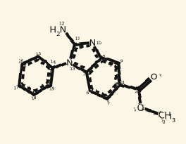 COC(=O)c1ccc2c(c1)nc(N)n2-c1ccccc1